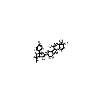 NC(=O)c1c(-c2ccc(Cl)c(Cl)c2)nn2c1CN(C(=O)NC1(c3ccc(F)cc3)CC(F)(F)C1)CC2